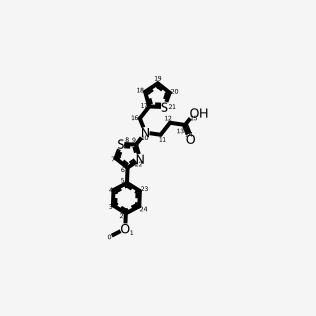 COc1ccc(-c2csc(N(CCC(=O)O)Cc3cccs3)n2)cc1